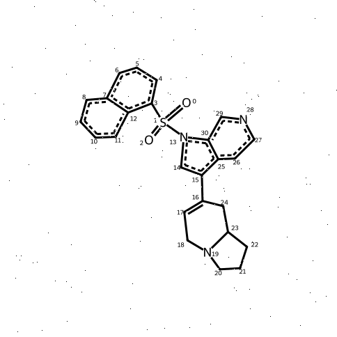 O=S(=O)(c1cccc2ccccc12)n1cc(C2=CCN3CCCC3C2)c2ccncc21